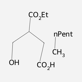 CCCCCC.CCOC(=O)C(CO)CC(=O)O